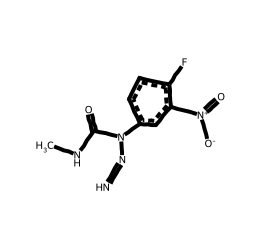 CNC(=O)N(N=N)c1ccc(F)c([N+](=O)[O-])c1